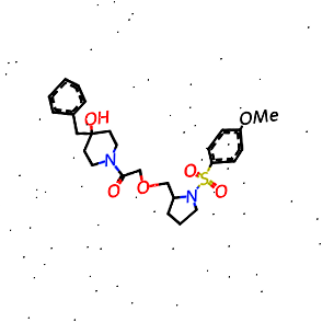 COc1ccc(S(=O)(=O)N2CCCC2COCC(=O)N2CCC(O)(Cc3ccccc3)CC2)cc1